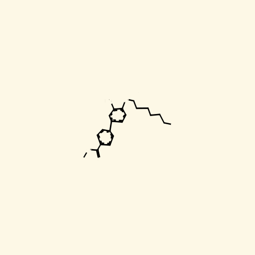 CCCCCC[C@@H](C)Oc1ccc(-c2ccc(C(=O)OC)cc2)cc1N